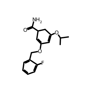 CC(C)OC1=CC(OCc2ccccc2F)=CC(C(N)=O)C1